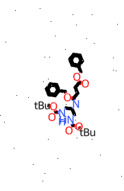 CC(C)(C)OC(=O)NCC(CNC(=O)OC(C)(C)C)N=C(CCC(=O)OCc1ccccc1)OCc1ccccc1